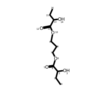 CCC(O)C(=O)OCCCOC(=O)C(O)CC